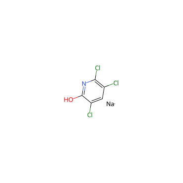 Oc1nc(Cl)c(Cl)cc1Cl.[Na]